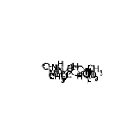 CN1C(=O)C(F)C[C@@]2(C)C1CC[C@@H]1[C@H]2CC[C@]2(C)C(C(=O)NCc3nc4ccccc4n3C)CC[C@@H]12